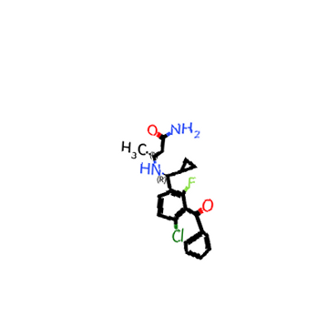 C[C@H](CC(N)=O)N[C@@H](c1ccc(Cl)c(C(=O)c2ccccc2)c1F)C1CC1